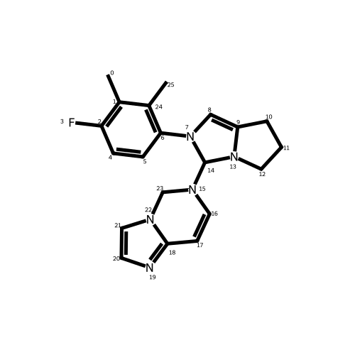 Cc1c(F)ccc(N2C=C3CCCN3C2N2C=Cc3nccn3C2)c1C